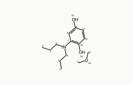 CCCN(CCC)c1cc(O)ccc1O.COC